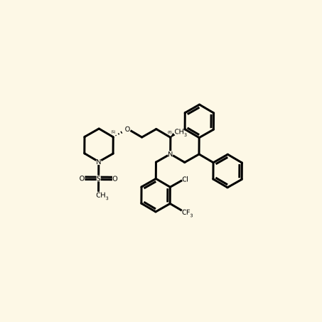 C[C@H](CCO[C@H]1CCCN(S(C)(=O)=O)C1)N(Cc1cccc(C(F)(F)F)c1Cl)CC(c1ccccc1)c1ccccc1